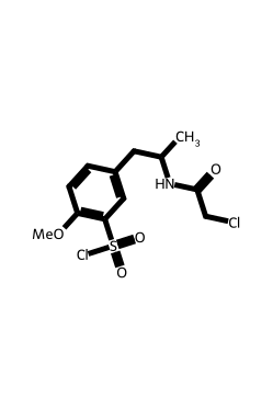 COc1ccc(CC(C)NC(=O)CCl)cc1S(=O)(=O)Cl